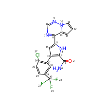 NC(=O)c1[nH]c(-c2ncnn3cccc23)cc1-c1cc(C(F)(F)F)ccc1Cl